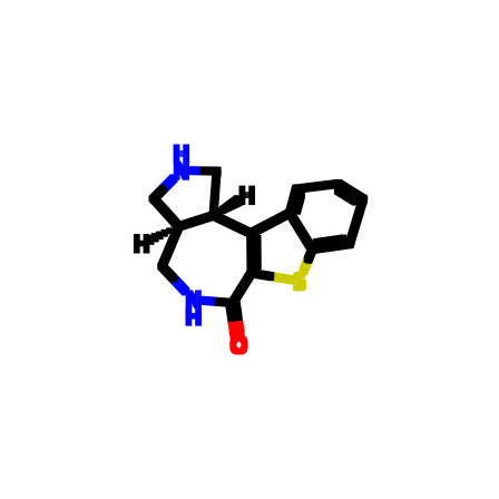 O=C1NC[C@H]2CNC[C@@H]2c2c1sc1ccccc21